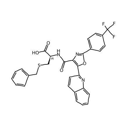 O=C(N[C@@H](CSCc1ccccc1)C(=O)O)c1nc(-c2ccc(C(F)(F)F)cc2)oc1-c1ccc2ccccc2n1